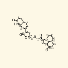 O=C1COc2ccc(N3C[C@@H](CCCN[C@H]4Cn5c(=O)ccc6nccc4c65)OC3=O)cc2N1